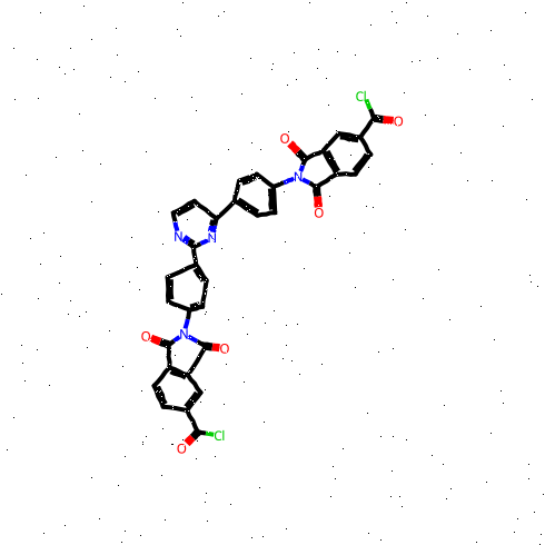 O=C(Cl)c1ccc2c(c1)C(=O)N(c1ccc(-c3ccnc(-c4ccc(N5C(=O)c6ccc(C(=O)Cl)cc6C5=O)cc4)n3)cc1)C2=O